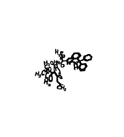 C=[C]CC1=C(C(=O)OC(C)(C)C)N2C(=O)C(NC(=O)C(=NOC)c3csc(NC(c4ccccc4)(c4ccccc4)c4ccccc4)n3)C2CS1